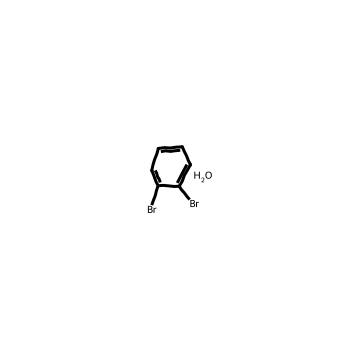 Brc1ccccc1Br.O